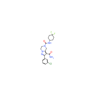 NC(=O)c1c(-c2cccc(Cl)c2)nn2c1CN(C(=O)NC1CCC(F)(F)CC1)CC2